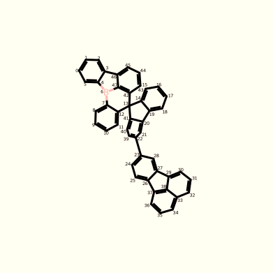 c1ccc2c(c1)B1c3ccccc3C3(c4ccccc4-c4cc(-c5ccc6c(c5)-c5cccc7cccc-6c57)ccc43)c3cccc-2c31